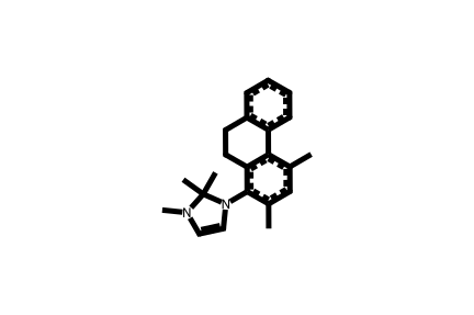 Cc1cc(C)c(N2C=CN(C)C2(C)C)c2c1-c1ccccc1CC2